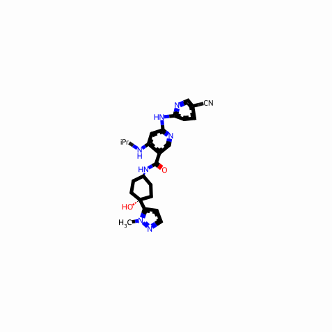 CC(C)Nc1cc(Nc2ccc(C#N)cn2)ncc1C(=O)N[C@H]1CC[C@](O)(c2ccnn2C)CC1